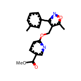 COC(=O)c1ccc(OCc2c(-c3cccc(C)c3)noc2C)nc1